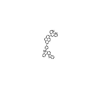 C1=CC2=CC=C(c3cc4cccnc4c4ncccc34)C3=CC=C4C=C(c5ccc(-c6nc7ccccc7c7c6ccc6c8ccccc8sc67)cc5)C=C1C4C23